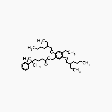 CCCCC(CC)COc1cc(COC(=O)CCCC(C)(C)c2ccccc2)c(OCC(CC)CCCC)cc1CC